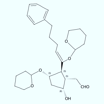 O=CC[C@H]1[C@H](C(=CCCCc2ccccc2)OC2CCCCO2)[C@@H](OC2CCCCO2)C[C@H]1O